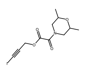 CC1CN(C(=O)C(=O)OCC#CI)CC(C)O1